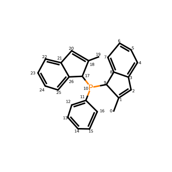 CC1=Cc2ccccc2C1P(c1ccccc1)C1C(C)=Cc2ccccc21